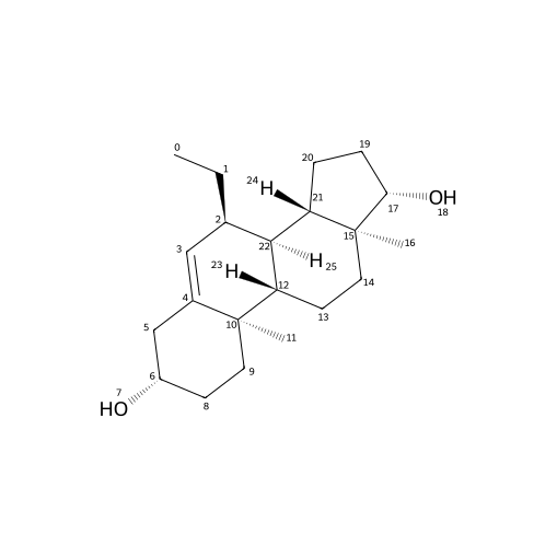 CC[C@@H]1C=C2C[C@@H](O)CC[C@]2(C)[C@H]2CC[C@]3(C)[C@@H](O)CC[C@H]3[C@H]12